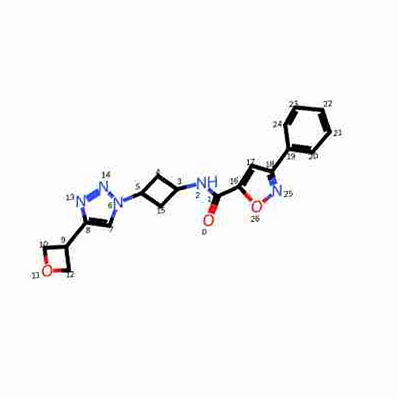 O=C(NC1CC(n2cc(C3COC3)nn2)C1)c1cc(-c2ccccc2)no1